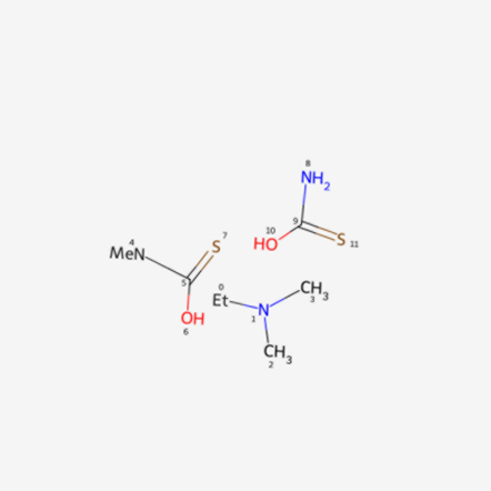 CCN(C)C.CNC(O)=S.NC(O)=S